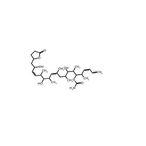 C=C/C=C\C(C)C(OC(N)=O)C(C)C(O)C(C)C/C(C)=C\C(C)C(O)C(C)/C=C\C(O)CC1CCC(=O)O1